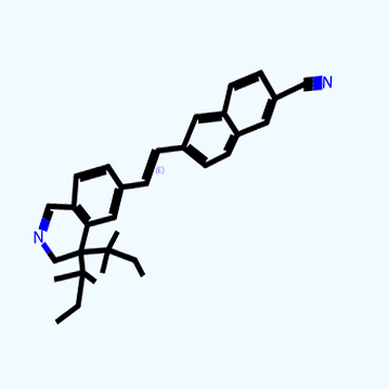 CCC(C)(C)C1(C(C)(C)CC)CN=Cc2ccc(/C=C/c3ccc4cc(C#N)ccc4c3)cc21